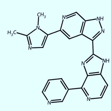 Cc1ncc(-c2cc3c(-c4nc5c(-c6cccnc6)nccc5[nH]4)n[nH]c3cn2)n1C